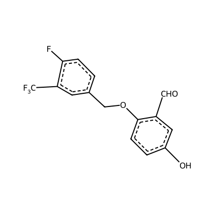 O=Cc1cc(O)ccc1OCc1ccc(F)c(C(F)(F)F)c1